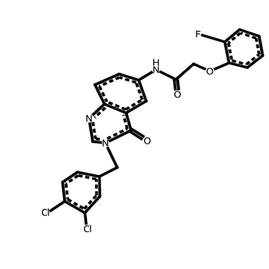 O=C(COc1ccccc1F)Nc1ccc2ncn(Cc3ccc(Cl)c(Cl)c3)c(=O)c2c1